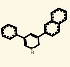 B1C=C(c2ccccc2)C=C(c2ccc3ccccc3c2)C1